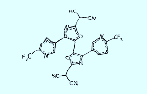 N#CC(C#N)c1nc(-c2ccc(C(F)(F)F)nc2)c(-c2oc(C(C#N)C#N)nc2-c2ccc(C(F)(F)F)nc2)o1